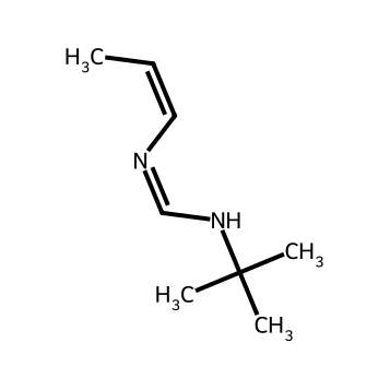 C/C=C\N=C/NC(C)(C)C